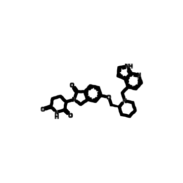 O=C1CCC(N2Cc3cc(OC[C@@H]4CCCCN4Cc4ccnc5[nH]ccc45)ccc3C2=O)C(=O)N1